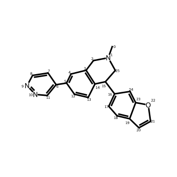 CN1Cc2cc(-c3ccnnc3)ccc2C(c2ccc3ccoc3c2)C1